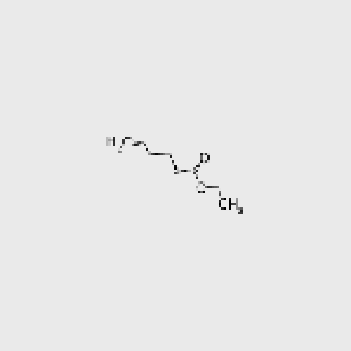 C=CCCSC(=O)OCC